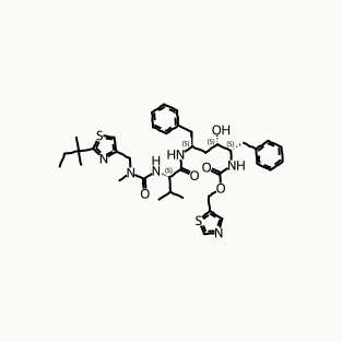 CCC(C)(C)c1nc(CN(C)C(=O)N[C@H](C(=O)N[C@@H](Cc2ccccc2)C[C@H](O)[C@H](Cc2ccccc2)NC(=O)OCc2cncs2)C(C)C)cs1